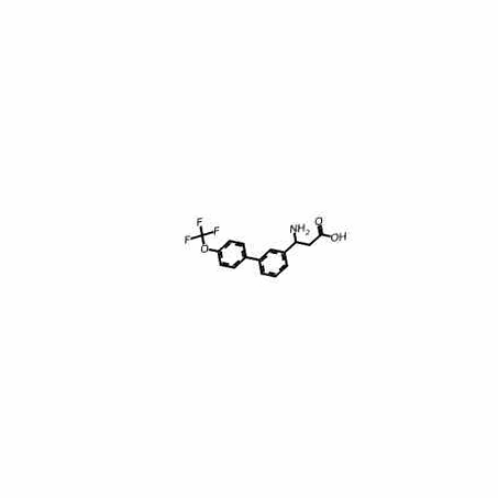 NC(CC(=O)O)c1cccc(-c2ccc(OC(F)(F)F)cc2)c1